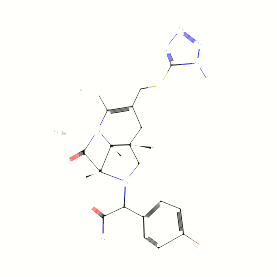 Cn1nnnc1SCC1=C(C(=O)O)N2C(=O)[C@@H]3[C@H]2[C@H](C1)CN3C(C(N)=O)c1ccc(O)cc1.[NaH]